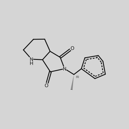 C[C@@H](c1ccccc1)N1C(=O)C2CCCNC2C1=O